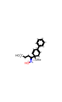 CSC1(C(CCC(=O)O)=NO)C=CC(c2ccccc2)=CC1